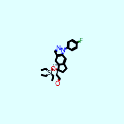 CC[Si](CC)(CC)O[C@@]1(CC=O)CCC2=Cc3c(cnn3-c3ccc(F)cc3)C[C@@]21C